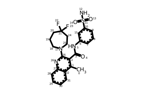 Cc1c(C(=O)Nc2cccc(S(N)(=O)=O)c2)c(N2CCCC(F)(F)CC2)nc2ccccc12